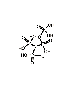 O=P(O)(O)OP(=O)(O)N(P(=O)(O)O)P(=O)(O)O